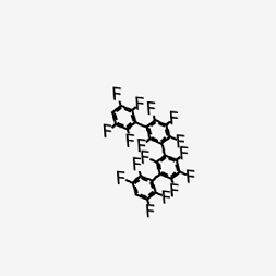 Fc1cc(F)c(F)c(-c2c(F)c(F)c(F)c(-c3c(F)c(F)c(F)c(-c4c(F)c(F)cc(F)c4F)c3F)c2F)c1F